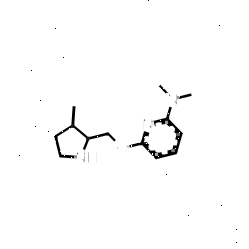 CC1CCNC1COc1cccc(N(C)C)n1